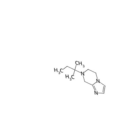 CCC(C)(C)N1CCn2ccnc2C1